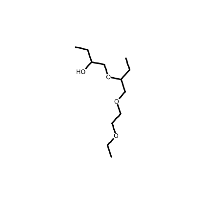 CCOCCOCC(CC)OCC(O)CC